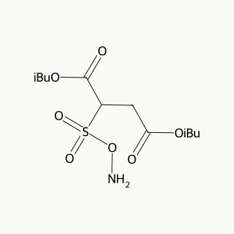 CC(C)COC(=O)CC(C(=O)OCC(C)C)S(=O)(=O)ON